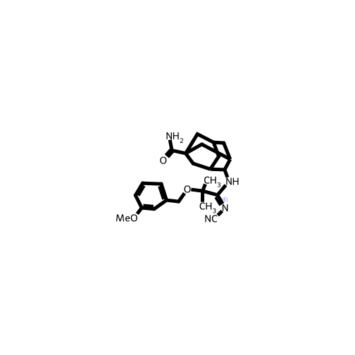 COc1cccc(COC(C)(C)/C(=N\C#N)NC2C3CC4CC2CC(C(N)=O)(C4)C3)c1